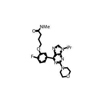 CNC(=O)CCCOc1cc(-c2nc(N3CCOCC3)nc3c2ncn3C(C)C)ccc1F